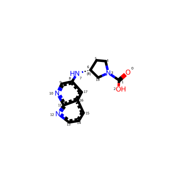 O=C(O)N1CC[C@@H](Nc2cnc3ncccc3c2)C1